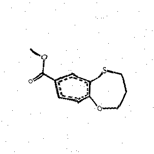 COC(=O)c1ccc2c(c1)SCCCO2